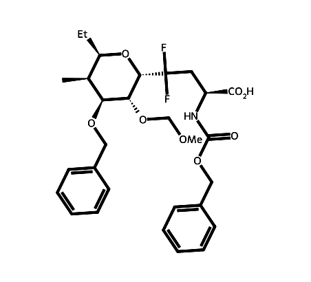 CC[C@H]1O[C@H](C(F)(F)C[C@H](NC(=O)OCc2ccccc2)C(=O)O)[C@H](OCOC)[C@@H](OCc2ccccc2)[C@H]1C